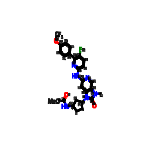 COC(=O)N[C@@H]1CC[C@@H](n2c(=O)n(C)c3cnc(Nc4ccc(F)c(-c5ccc(OC(F)(F)F)cc5)n4)cc32)C1